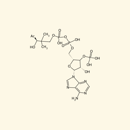 CC(=O)[C@H](O)C(C)(C)COP(=O)(O)OP(=O)(O)OC[C@H]1O[C@@H](n2cnc3c(N)ncnc32)[C@@H](O)C1OP(=O)(O)O